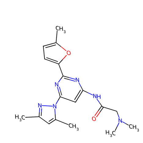 Cc1cc(C)n(-c2cc(NC(=O)CN(C)C)nc(-c3ccc(C)o3)n2)n1